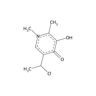 Cc1c(O)c(=O)c(C(C)Cl)cn1C